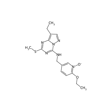 CCOc1ccc(CNc2nc(SC)nc3c(CC)cnn23)c[n+]1[O-]